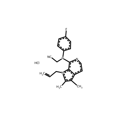 C=CCn1c(C)c(C)c2ccnc(N(CC#N)c3ccc(F)cc3)c21.Cl